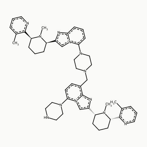 Cc1cccnc1[C@@H]1CCC[C@H](c2cn3c(N4CCN(Cc5ccc(N6CCNCC6)n6cc([C@H]7CCC[C@@H](c8ncccc8C)N7C)nc56)CC4)cccc3n2)N1C